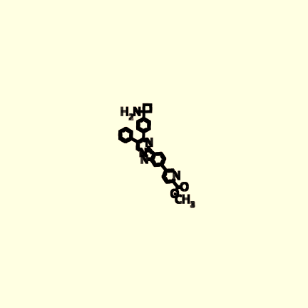 COC(=O)c1ccc(-c2ccc3c(c2)nn2cc(-c4ccccc4)c(-c4ccc(C5(N)CCC5)cc4)nc32)cn1